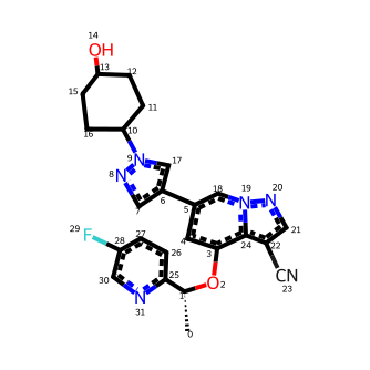 C[C@@H](Oc1cc(-c2cnn(C3CCC(O)CC3)c2)cn2ncc(C#N)c12)c1ccc(F)cn1